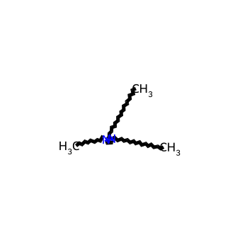 CCCCCCCCCCCCCCCCCCC1N(CCCCCCCCCC)C=CN1CCCCCCCCCCCCCCCCC